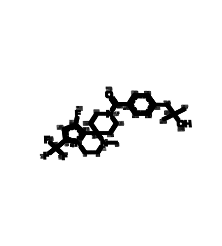 CN1CCn2c(C(F)(F)F)cc(F)c2C12CCN(C(=O)c1ccc(CC(C)(C)O)cc1)CC2